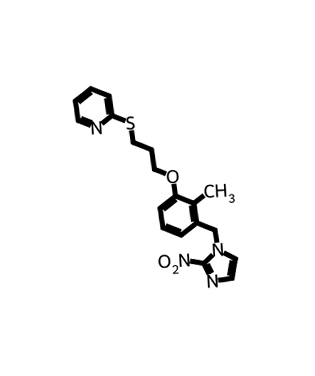 Cc1c(Cn2ccnc2[N+](=O)[O-])cccc1OCCCSc1ccccn1